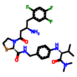 CC(C)[C@@H](Nc1ccc(CNC(=O)[C@@H]2SCCN2C(=O)C[C@H](N)Cc2cc(F)c(F)cc2F)cc1)C(=O)N(C)C